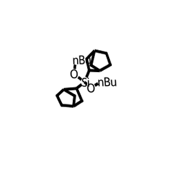 CCCCO[Si](OCCCC)(C1CC2CCC1C2)C1CC2CCC1C2